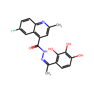 CC(=NNC(=O)c1cc(C)nc2ccc(F)cc12)c1ccc(O)c(O)c1O